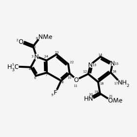 CNC(=O)n1c(C)cc2c(F)c(Oc3ncnc(N)c3C(=N)OC)ccc21